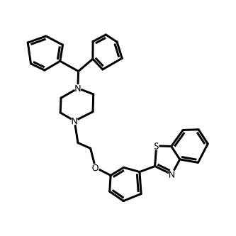 c1ccc(C(c2ccccc2)N2CCN(CCOc3cccc(-c4nc5ccccc5s4)c3)CC2)cc1